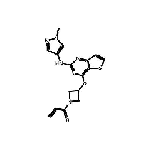 C=CC(=O)N1CC(Oc2nc(Nc3cnn(C)c3)nc3ccsc23)C1